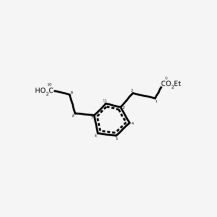 CCOC(=O)CCc1cccc(CCC(=O)O)c1